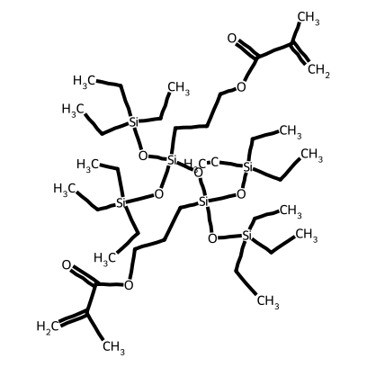 C=C(C)C(=O)OCCC[Si](O[Si](CC)(CC)CC)(O[Si](CC)(CC)CC)O[Si](CCCOC(=O)C(=C)C)(O[Si](CC)(CC)CC)O[Si](CC)(CC)CC